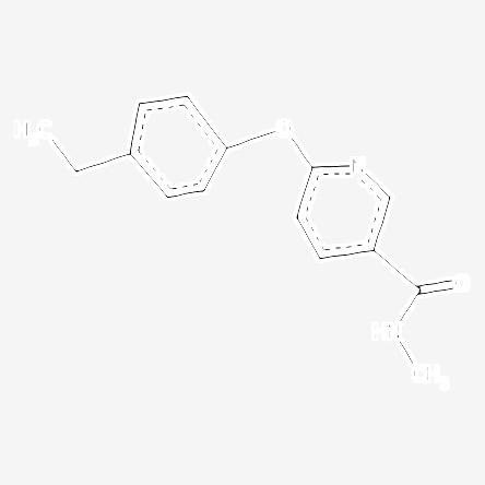 CCc1ccc(Oc2ccc(C(=O)NC)cn2)cc1